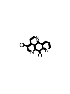 O=C1c2ncccc2-c2nccc3c(Cl)cnc1c23